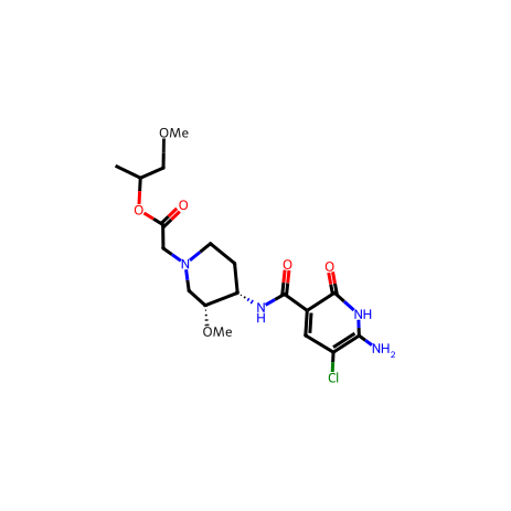 COCC(C)OC(=O)CN1CC[C@H](NC(=O)c2cc(Cl)c(N)[nH]c2=O)[C@H](OC)C1